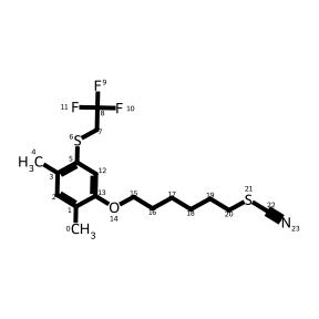 Cc1cc(C)c(SCC(F)(F)F)cc1OCCCCCCSC#N